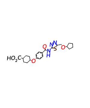 O=C(Nc1nnc(COC2CCCC2)s1)c1ccc(OC2CCC(C(=O)O)CC2)cc1